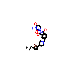 Cc1ccc(C2=CCN(Cc3ccc4c(c3)C(=O)N(N3CCC(=O)NC3=O)C4=O)CC2)s1